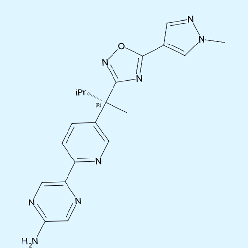 CC(C)[C@](C)(c1ccc(-c2cnc(N)cn2)nc1)c1noc(-c2cnn(C)c2)n1